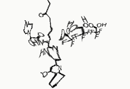 CCC(=O)CCCCC[C@H](NC(=O)C(=O)N1CCN(C)CC1)c1ncc(-c2cc(OC)c3ccccc3n2)[nH]1.O=C(O)C(F)(F)F.O=C(O)C(F)(F)F.O=C(O)C(F)(F)F